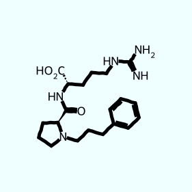 N=C(N)NCCC[C@H](NC(=O)[C@@H]1CCCN1CCCc1ccccc1)C(=O)O